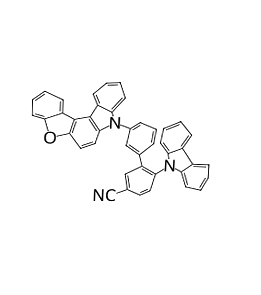 N#Cc1ccc(-n2c3ccccc3c3ccccc32)c(-c2cccc(-n3c4ccccc4c4c5c(ccc43)oc3ccccc35)c2)c1